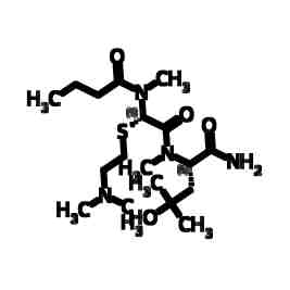 CCCC(=O)N(C)[C@@H](SCCN(C)C)C(=O)N(C)[C@@H](CC(C)(C)O)C(N)=O